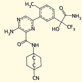 Cc1ccc(C(O)(C(N)=O)C(F)(F)F)cc1-c1cnc(N)c(C(=O)NC23CCC(C#N)(CC2)CC3)n1